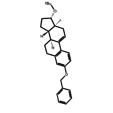 CC(C)(C)O[C@H]1CC[C@H]2[C@@H]3CCc4cc(OCc5ccccc5)ccc4C3=CC[C@]12C